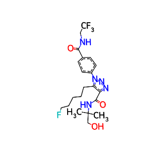 CC(C)(CO)NC(=O)c1nnn(-c2ccc(C(=O)NCC(F)(F)F)cc2)c1CCCCCF